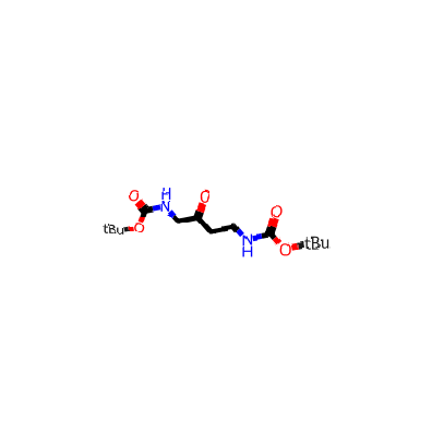 CC(C)(C)OC(=O)NCCC(=O)CNC(=O)OC(C)(C)C